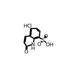 Cl.O=c1ccc2cccc(S(=O)(=O)O)c2[nH]1